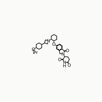 CC(C)OC1CCC(C2CN([C@H]3CCCC[C@H]3Oc3ccc4c(c3)CN(C3CCC(=O)NC3=O)C4=O)C2)CC1